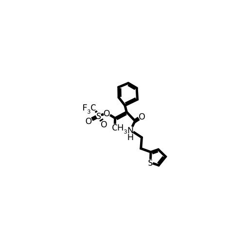 CC(OS(=O)(=O)C(F)(F)F)=C(C(=O)NCCc1cccs1)c1ccccc1